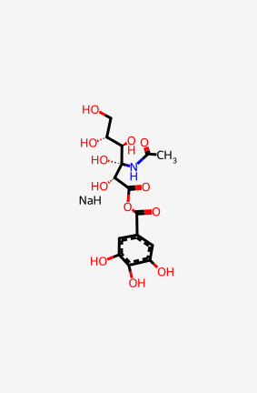 CC(=O)N[C@](O)([C@H](O)[C@H](O)CO)[C@@H](O)C(=O)OC(=O)c1cc(O)c(O)c(O)c1.[NaH]